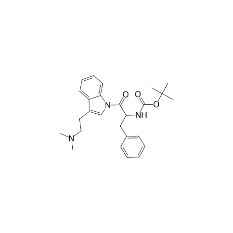 CN(C)CCc1cn(C(=O)C(Cc2ccccc2)NC(=O)OC(C)(C)C)c2ccccc12